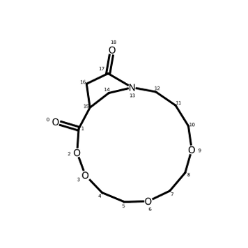 O=C1OOCCOCCOCCCN2CC1CC2=O